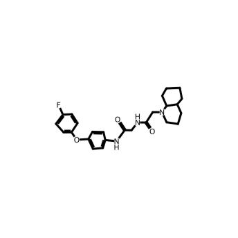 O=C(CN1CCCC2CCCCC21)NCC(=O)Nc1ccc(Oc2ccc(F)cc2)cc1